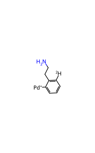 [2H]c1ccc[c]([Pd+])c1CCN